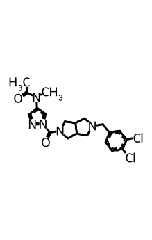 CC(=O)N(C)c1cnn(C(=O)N2CC3CN(Cc4ccc(Cl)c(Cl)c4)CC3C2)c1